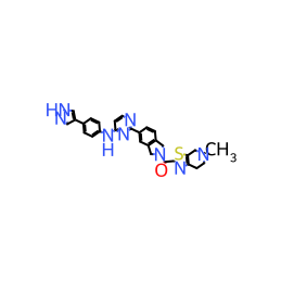 CN1CCc2nc(C(=O)N3Cc4ccc(-c5nccc(Nc6ccc(-c7cn[nH]c7)cc6)n5)cc4C3)sc2C1